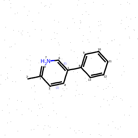 C=C(C)/C=C\C(=C/N)c1ccccc1